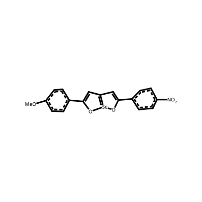 COc1ccc(C2=CC3=[Se](O2)OC(c2ccc([N+](=O)[O-])cc2)=C3)cc1